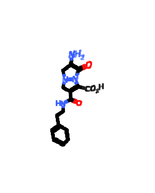 NC1CN2CC(C(=O)NCCc3ccccc3)=C(C(=O)O)N2C1=O